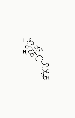 COC(=O)CC(=O)C1CCN(S(=O)(=O)C(C)(C)C(=O)OC)CC1